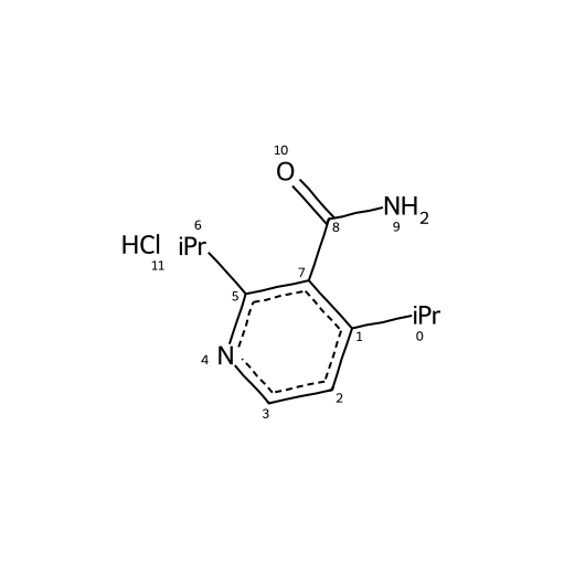 CC(C)c1ccnc(C(C)C)c1C(N)=O.Cl